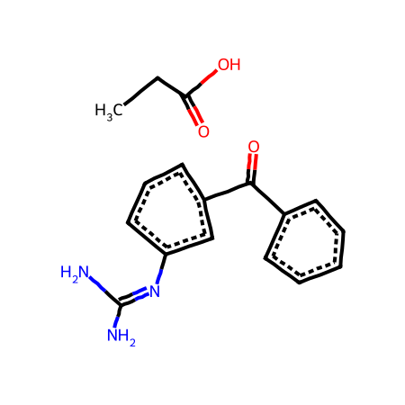 CCC(=O)O.NC(N)=Nc1cccc(C(=O)c2ccccc2)c1